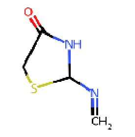 C=NC1NC(=O)CS1